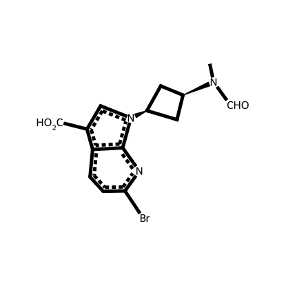 CN(C=O)[C@H]1C[C@@H](n2cc(C(=O)O)c3ccc(Br)nc32)C1